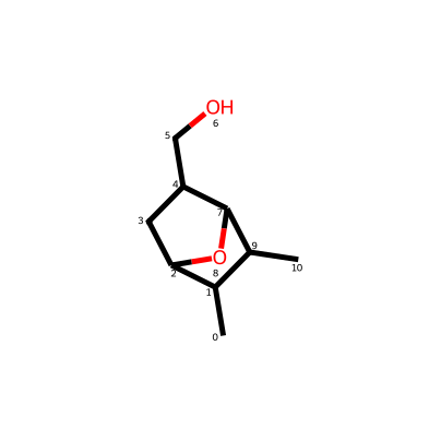 CC1C2CC(CO)C(O2)C1C